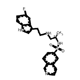 C[C@H](CNCCc1c[nH]c2ccc(F)cc12)NS(=O)(=O)c1ccc2cnccc2c1